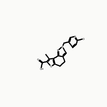 Cc1c(C(=O)O)oc2c1-c1nn(Cc3ccc(Cl)nc3)cc1CC2